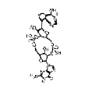 Nc1nc2c(ncn2C2OC3COP(=O)(O)OC4C(COP(=O)(S)OC2C3O)OC(c2cncc3c(N)ncnc23)C4O)c(=O)[nH]1